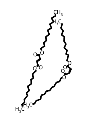 CCCCCCCCCCCCCOC(=O)/C=C/C(=O)OCCCCCCCCCCCCC.CCCCCCCCCCCCCOC(=O)/C=C\C(=O)OCCCCCCCCCCCCC